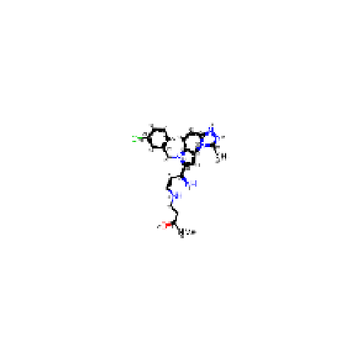 CNC(=O)CCN/C=C\C(=N)c1cc2c(ccc3nnc(C)n32)n1Cc1cccc(Cl)c1